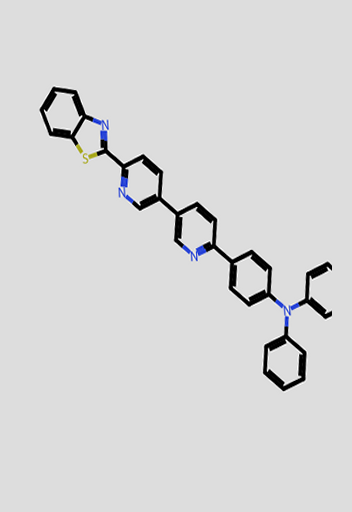 c1ccc(N(c2ccccc2)c2ccc(-c3ccc(-c4ccc(-c5nc6ccccc6s5)nc4)cn3)cc2)cc1